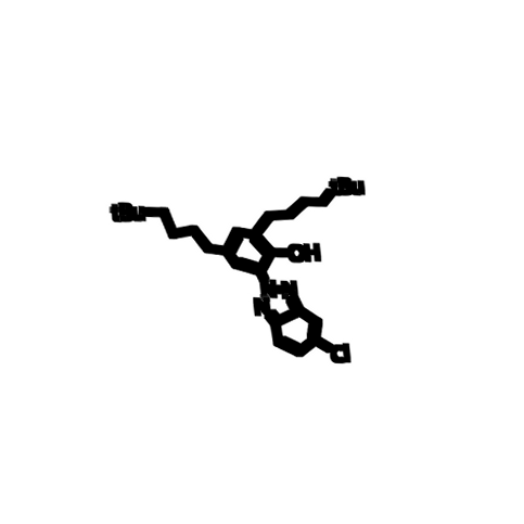 CC(C)(C)CCCCc1cc(CCCCC(C)(C)C)c(O)c(-n2nc3ccc(Cl)cc3n2)c1